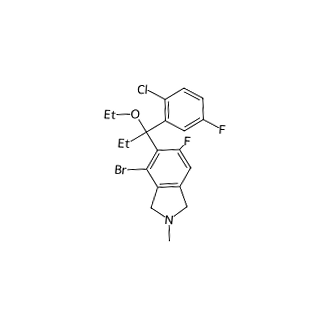 CCOC(CC)(c1cc(F)ccc1Cl)c1c(F)cc2c(c1Br)CN(C)C2